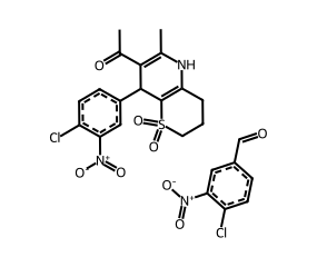 CC(=O)C1=C(C)NC2=C(C1c1ccc(Cl)c([N+](=O)[O-])c1)S(=O)(=O)CCC2.O=Cc1ccc(Cl)c([N+](=O)[O-])c1